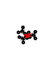 c1ccc(-c2cc(-c3ccccc3)nc(-c3ccc(-n4c5ccccc5c5cc(-c6nc(-c7ccccc7)nc(-c7ccccc7)n6)ccc54)c(-c4ccccc4-n4c5ccccc5c5cc(-c6nc(-c7ccccc7)nc(-c7ccccc7)n6)ccc54)c3)n2)cc1